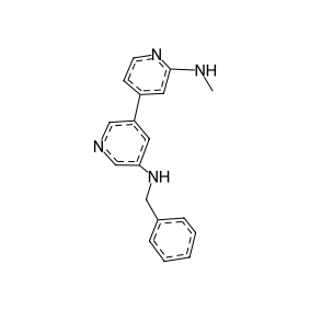 CNc1cc(-c2cncc(NCc3ccccc3)c2)ccn1